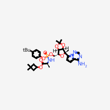 C[C@H](NP(=O)(OC[C@H]1O[C@@](C)(c2ccc3c(N)ncnn23)[C@@H]2OC(C)(C)O[C@@H]21)Oc1ccc(C(C)(C)C)cc1)C(=O)OC1CC(C)(C)C1